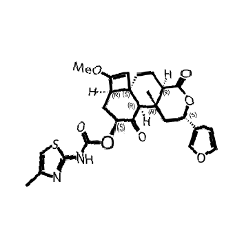 COC1=C[C@@]23CC[C@H]4C(=O)O[C@H](c5ccoc5)C[C@]4(C)[C@H]2C(=O)[C@@H](OC(=O)Nc2nc(C)cs2)C[C@@H]13